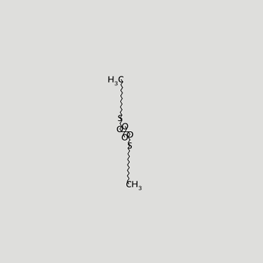 CCCCCCCCCCCCCCSCCC1OCC2(CO1)COC(CCSCCCCCCCCCCCCCC)OC2